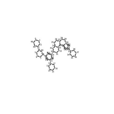 c1ccc(-c2cccc(-c3nc(-c4ccccc4)nc(-c4ccc5c(ccc6ccc7nn(-c8ccccc8)nc7c65)c4)n3)c2)cc1